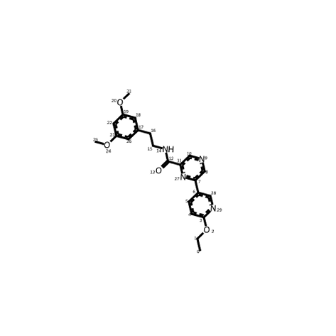 CCOc1ccc(-c2cncc(C(=O)NCCc3cc(OC)cc(OC)c3)n2)cn1